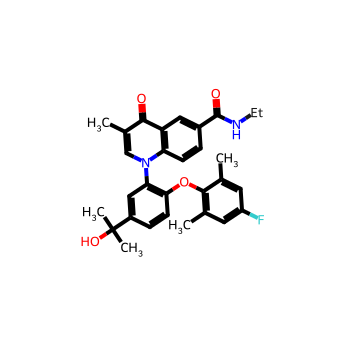 CCNC(=O)c1ccc2c(c1)c(=O)c(C)cn2-c1cc(C(C)(C)O)ccc1Oc1c(C)cc(F)cc1C